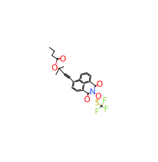 CCCC(=O)OC(C)(C)C#Cc1ccc2c3c(cccc13)C(=O)N(OSC(F)(F)F)C2=O